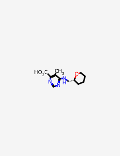 Cc1c(NC[C@H]2CCCCO2)ncnc1C(=O)O